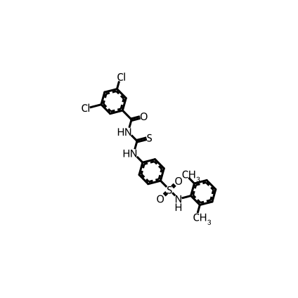 Cc1cccc(C)c1NS(=O)(=O)c1ccc(NC(=S)NC(=O)c2cc(Cl)cc(Cl)c2)cc1